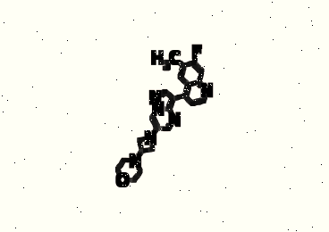 Cc1cc2c(-c3cnn4cc(N5CC(N6CCOCC6)C5)cnc34)ccnc2cc1F